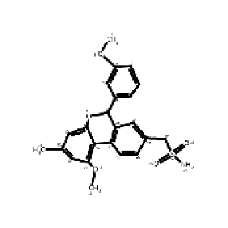 COc1cccc(C2Oc3cc(C)cc(OC)c3-c3ccc(CS(N)(=O)=O)cc32)c1